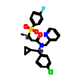 C[C@@H](CC(=O)N(Cc1ccccn1)[C@H](c1ccc(Cl)cc1)C1CC1)S(=O)(=O)c1ccc(F)cc1